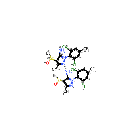 CC[S+]([O-])c1c(C#N)nn(-c2c(Cl)cc(C(F)(F)F)cc2Cl)c1N.CC[S+]([O-])c1c(C#N)nn(-c2c(Cl)cc(C(F)(F)F)cc2Cl)c1N